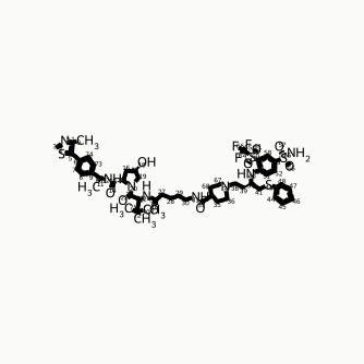 Cc1ncsc1-c1ccc([C@H](C)NC(=O)[C@@H]2C[C@@H](O)CN2C(=O)[C@@H](NC(=O)CCCCNC(=O)C2CCN(CC[C@H](CSc3ccccc3)Nc3ccc(S(N)(=O)=O)cc3S(=O)(=O)C(F)(F)F)CC2)C(C)(C)C)cc1